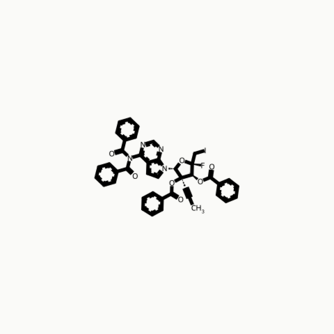 CC#C[C@]1(OC(=O)c2ccccc2)[C@H](n2ccc3c(N(C(=O)c4ccccc4)C(=O)c4ccccc4)ncnc32)O[C@](F)(CI)[C@H]1OC(=O)c1ccccc1